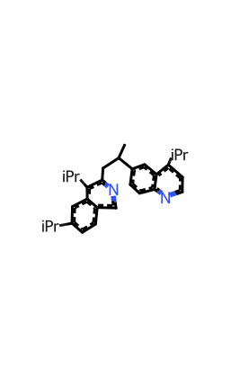 CC(C)c1ccc2cnc(CC(C)c3ccc4nccc(C(C)C)c4c3)c(C(C)C)c2c1